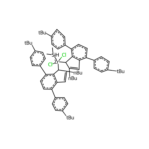 CCCCC1=Cc2c(-c3ccc(C(C)(C)C)cc3)ccc(-c3ccc(C(C)(C)C)cc3)c2[CH]1[Zr]([Cl])([Cl])([CH]1C(CCCC)=Cc2c(-c3ccc(C(C)(C)C)cc3)ccc(-c3ccc(C(C)(C)C)cc3)c21)[SiH](C)C